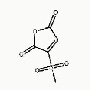 CS(=O)(=O)C1=CC(=O)OC1=O